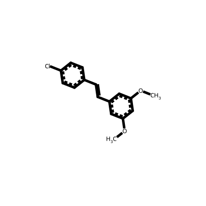 COc1cc(/C=C/c2ccc(Cl)cc2)cc(OC)c1